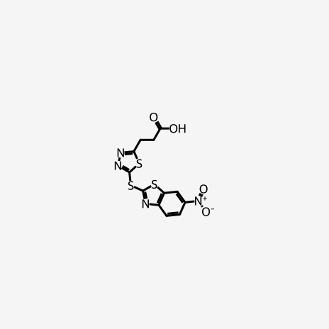 O=C(O)CCc1nnc(Sc2nc3ccc([N+](=O)[O-])cc3s2)s1